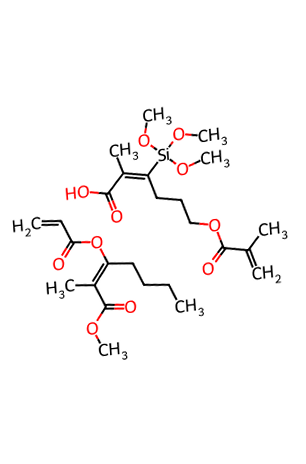 C=C(C)C(=O)OCCCC(=C(C)C(=O)O)[Si](OC)(OC)OC.C=CC(=O)OC(CCCC)=C(C)C(=O)OC